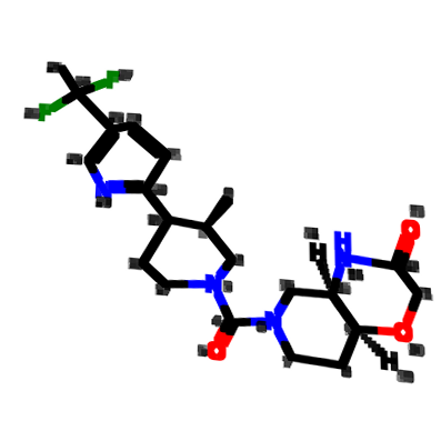 C[C@H]1CN(C(=O)N2CC[C@@H]3OCC(=O)N[C@@H]3C2)CCC1c1ccc(C(C)(F)F)cn1